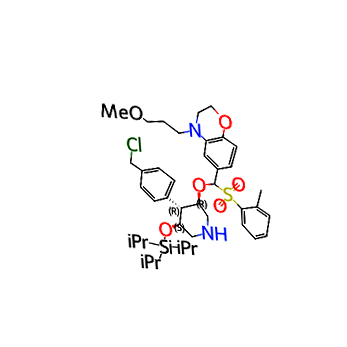 COCCCN1CCOc2ccc(C(O[C@H]3CNC[C@@H](O[Si](C(C)C)(C(C)C)C(C)C)[C@@H]3c3ccc(CCl)cc3)S(=O)(=O)c3ccccc3C)cc21